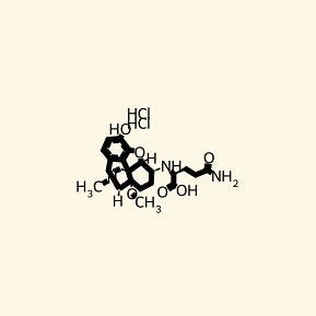 CO[C@@]12CC[C@@H](N[C@@H](CCC(N)=O)C(=O)O)[C@@H]3Oc4c(O)ccc5c4[C@@]31CCN(C)[C@@H]2C5.Cl.Cl